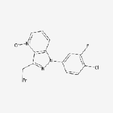 CC(C)Cc1nn(-c2ccc(Cl)c(F)c2)c2ccc[n+]([O-])c12